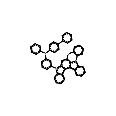 c1ccc(-c2ccc(N(c3ccccc3)c3cccc(-n4c5ccccc5c5c6c7ccccc7n7c6c(cc54)Sc4ccccc4-7)c3)cc2)cc1